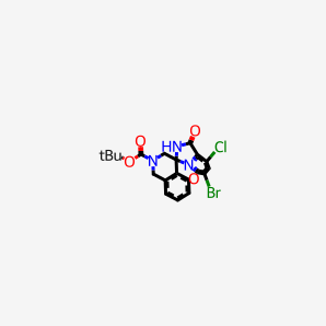 CC(C)(C)OC(=O)N1Cc2ccccc2C2(C1)NC(=O)c1c(Cl)cc(Br)c(=O)n12